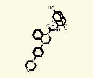 O=C(NC1[C@@H]2CC3C[C@H]1CC(O)(C3)C2)N1CCN(c2ccc(N3CCOCC3)cc2)c2ccccc21